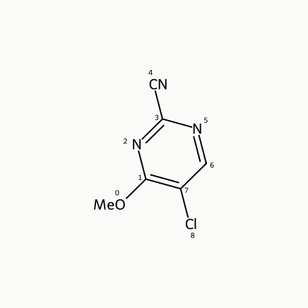 COc1nc(C#N)ncc1Cl